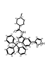 CN1CCC(C(=O)Nc2nn(C(c3ccccc3)(c3ccccc3)c3ccccc3)c3ccc(-c4cc[nH]n4)cc23)CC1